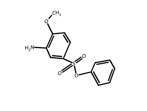 COc1ccc(S(=O)(=O)Oc2ccccc2)cc1N